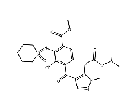 COC(=O)c1ccc(C(=O)c2cnn(C)c2OC(=O)SC(C)C)c(Cl)c1N=S1(=O)CCCCC1